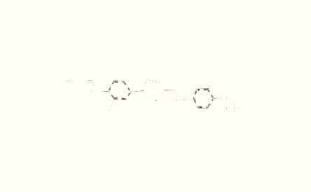 CCOc1ccc(C2CCC(COc3ccc(OC)c(F)c3F)CC2)cc1F